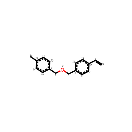 C=Cc1ccc(COCc2ccc(C)cc2)cc1